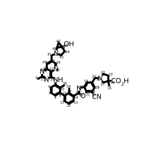 Cc1nc(Nc2cccc(-c3cccc(-c4nc5cc(CN6CC[C@@](C)(C(=O)O)C6)cc(C#N)c5o4)c3C)c2C)c2ncc(CN3CC[C@]4(O)CC34)cc2n1